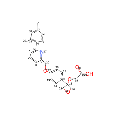 Cc1ccc(-c2cccc(COc3ccc(C4(OCC(=O)O)COC4)cc3)n2)c(C)c1